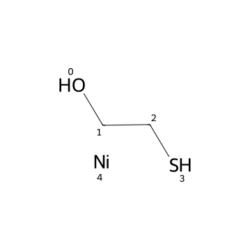 OCCS.[Ni]